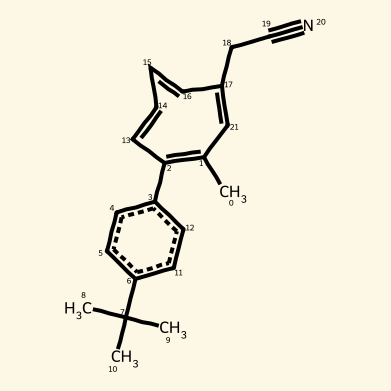 CC1=C(c2ccc(C(C)(C)C)cc2)/C=C/C=C/C(CC#N)=C\1